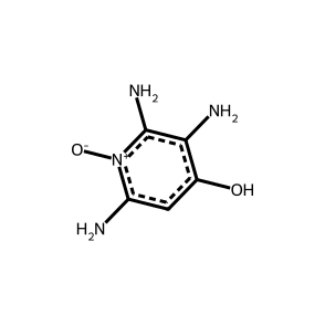 Nc1c(O)cc(N)[n+]([O-])c1N